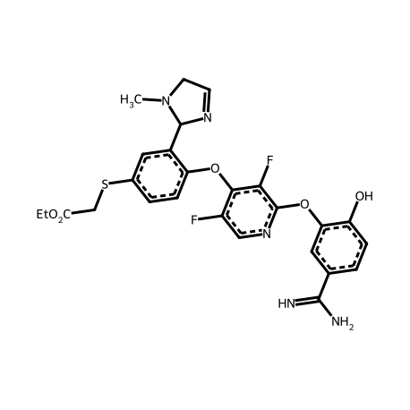 CCOC(=O)CSc1ccc(Oc2c(F)cnc(Oc3cc(C(=N)N)ccc3O)c2F)c(C2N=CCN2C)c1